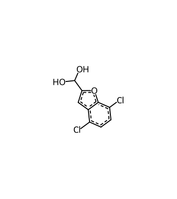 OC(O)c1cc2c(Cl)ccc(Cl)c2o1